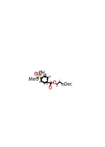 CCCCCCCCCCCCOC(=O)c1ccc(P(C)(=O)OC)cc1